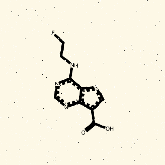 O=C(O)c1csc2c(NCCF)ncnc12